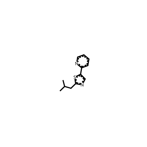 CC(C)Cc1ncc(-c2ccccn2)s1